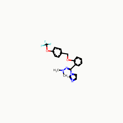 CN(C)/N=C(/c1ccccc1OCc1ccc(OC(F)(F)F)cc1)n1ccnc1